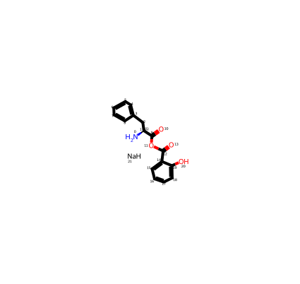 N[C@@H](Cc1ccccc1)C(=O)OC(=O)c1ccccc1O.[NaH]